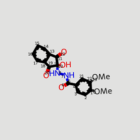 COc1ccc(C(=O)NNC2(O)C(=O)c3ccccc3C2=O)cc1OC